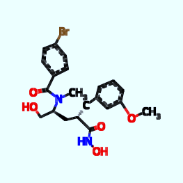 COc1cccc(C[C@@H](C[C@@H](CO)N(C)C(=O)c2ccc(Br)cc2)C(=O)NO)c1